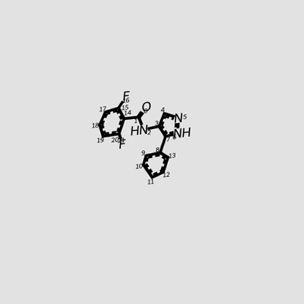 O=C(Nc1cn[nH]c1-c1ccccc1)c1c(F)cccc1F